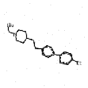 CCc1ccc(-c2ccc(CCC3CCN(CC(C)(C)C)CC3)cc2)cc1